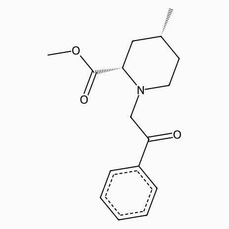 COC(=O)[C@@H]1C[C@H](C)CCN1CC(=O)c1ccccc1